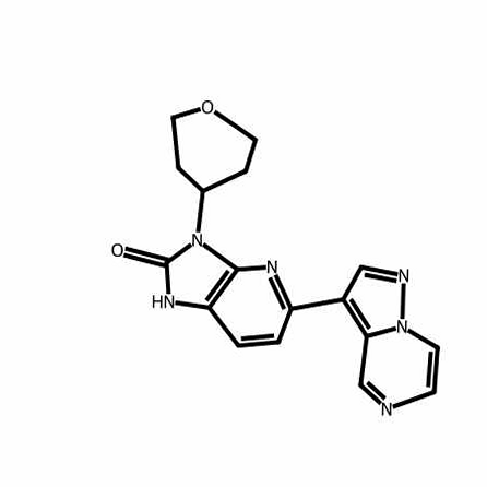 O=c1[nH]c2ccc(-c3cnn4ccncc34)nc2n1C1CCOCC1